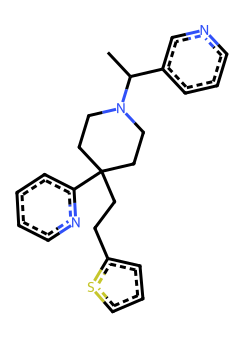 CC(c1cccnc1)N1CCC(CCc2cccs2)(c2ccccn2)CC1